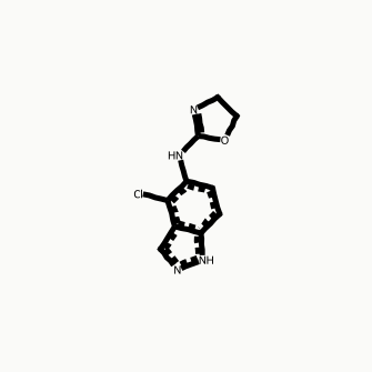 Clc1c(NC2=NCCO2)ccc2[nH]ncc12